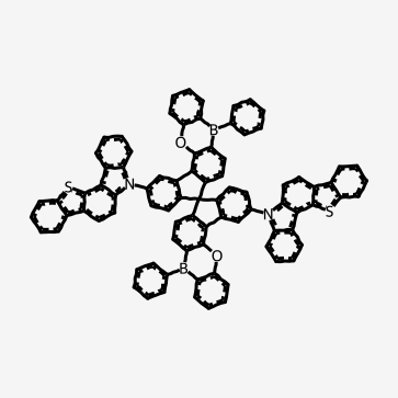 c1ccc(B2c3ccccc3Oc3c2ccc2c3-c3cc(-n4c5ccccc5c5c6sc7ccccc7c6ccc54)ccc3C23c2ccc(-n4c5ccccc5c5c6sc7ccccc7c6ccc54)cc2-c2c3ccc3c2Oc2ccccc2B3c2ccccc2)cc1